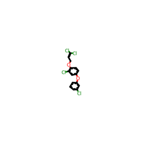 ClC(Cl)=CCOc1ccc(Oc2cccc(Cl)c2)cc1Cl